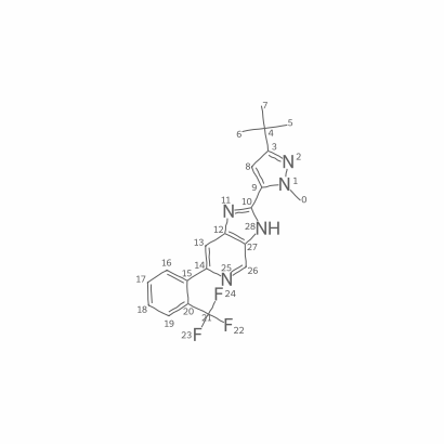 Cn1nc(C(C)(C)C)cc1-c1nc2cc(-c3ccccc3C(F)(F)F)ncc2[nH]1